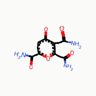 NC(=O)c1cc(=O)c(C(N)=O)c(C(N)=O)o1